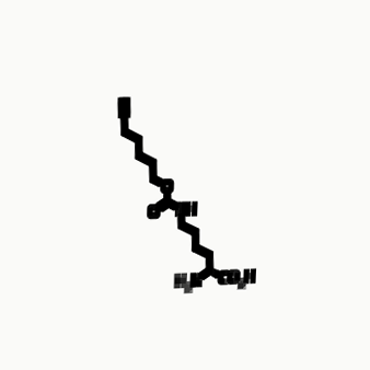 C#CCCCCCOC(=O)NCCCC[C@H](N)C(=O)O